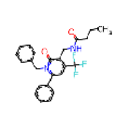 CCCC(=O)NCc1c(C(F)(F)F)cc(-c2ccccc2)n(Cc2ccccc2)c1=O